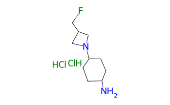 Cl.Cl.NC1CCC(N2CC(CF)C2)CC1